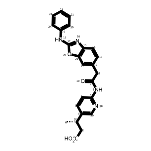 C[C@@H](CC(=O)O)c1ccc(NC(=O)Cc2ccc3nc(Nc4ccccc4)oc3c2)nc1